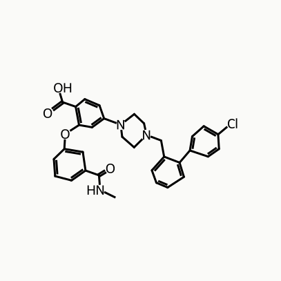 CNC(=O)c1cccc(Oc2cc(N3CCN(Cc4ccccc4-c4ccc(Cl)cc4)CC3)ccc2C(=O)O)c1